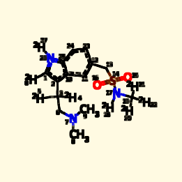 [2H]c1c(C([2H])([2H])CN(C)C)c2cc(CS(=O)(=O)N([2H])C([2H])([2H])[2H])ccc2n1[2H]